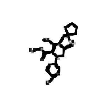 COC(=O)C1=C(C)N(C[C@@]2(C)CCCO2)C(=O)C[C@H]1c1ccc(Cl)nc1